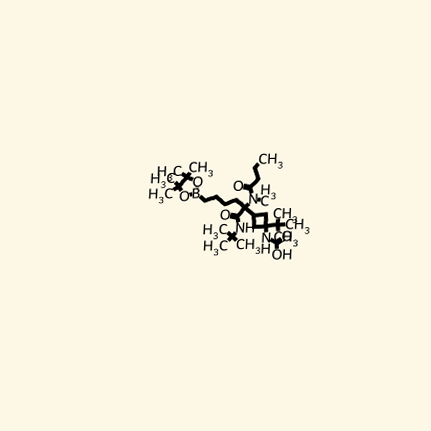 CCCC(=O)N(C)C(CCCCB1OC(C)(C)C(C)(C)O1)(C(=O)NC(C)(C)C)C1CC(NC(=O)O)(C(C)(C)C)C1